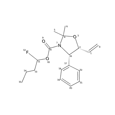 C=C[C@H]1OC(C)(C)N(C(=O)OC(F)CCC)[C@H]1c1ccccc1